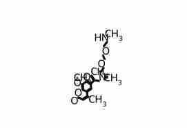 CNCCOCCOCCN(C)Cc1c(C)oc2c(OC)c3oc(=O)cc(C)c3cc12